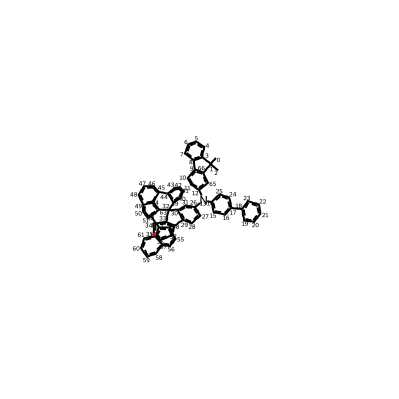 CC1(C)c2ccccc2-c2ccc(N(c3ccc(-c4ccccc4)cc3)c3ccc4c(c3)C3(c5ccccc5-4)c4ccccc4-c4cccc5ccc(-c6cccc7ccccc67)c3c45)cc21